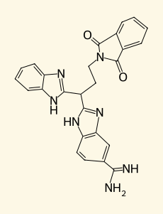 N=C(N)c1ccc2[nH]c(C(CCN3C(=O)c4ccccc4C3=O)c3nc4ccccc4[nH]3)nc2c1